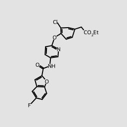 CCOC(=O)Cc1ccc(Oc2ccc(NC(=O)c3cc4cc(F)ccc4o3)cn2)c(Cl)c1